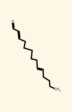 CCCCC=CCCCCCC=CC=O